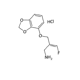 Cl.NC/C(=C\F)COc1cccc2c1OCO2